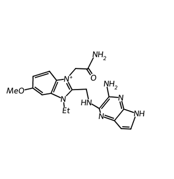 CCn1c(CNc2nc3cc[nH]c3nc2N)[n+](CC(N)=O)c2ccc(OC)cc21